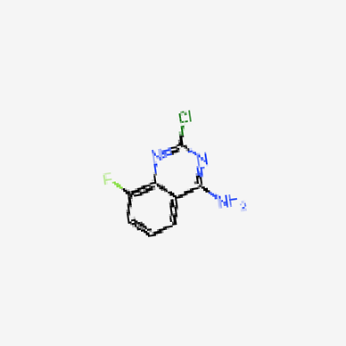 Nc1nc(Cl)nc2c(F)cccc12